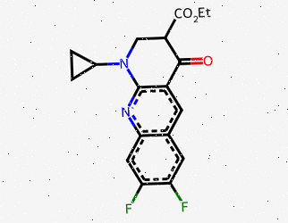 CCOC(=O)C1CN(C2CC2)c2nc3cc(F)c(F)cc3cc2C1=O